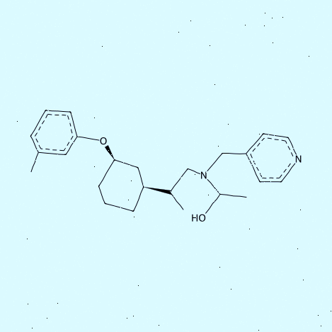 Cc1cccc(O[C@@H]2CCC[C@H](C(C)CN(Cc3ccncc3)C(C)O)C2)c1